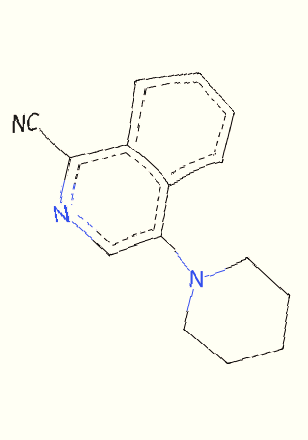 N#Cc1ncc(N2CCCCC2)c2ccccc12